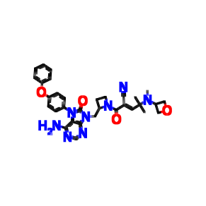 CN(C1COC1)C(C)(C)C=C(C#N)C(=O)N1CCC1Cn1c(=O)n(-c2ccc(Oc3ccccc3)cc2)c2c(N)ncnc21